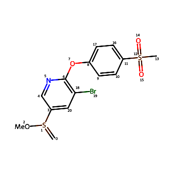 C=S(OC)c1cnc(Oc2ccc(S(C)(=O)=O)cc2)c(Br)c1